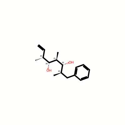 C=C[C@@H](C)[C@@H](O)[C@@H](C)[C@H](O)[C@H](C)Cc1ccccc1